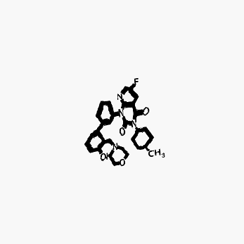 C[C@H]1CC[C@@H](n2c(=O)c3cc(F)cnc3n(-c3cccc(-c4cccc(O)c4CN4CCOCC4)c3)c2=O)CC1